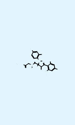 CCCCC1C(c2c(C)cc(F)cc2F)=NN(c2ccc(F)cc2F)C1(C)C(=O)N(F)CC(=O)OC